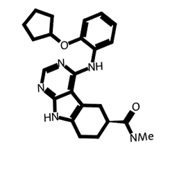 CNC(=O)[C@H]1CCc2[nH]c3ncnc(Nc4ccccc4OC4CCCC4)c3c2C1